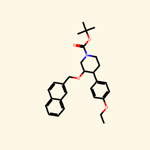 [CH2]COc1ccc(C2CCN(C(=O)OC(C)(C)C)CC2OCc2ccc3ccccc3c2)cc1